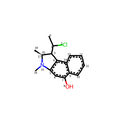 CC(Cl)C1c2c(cc(O)c3ccccc23)N(C)[C@H]1C